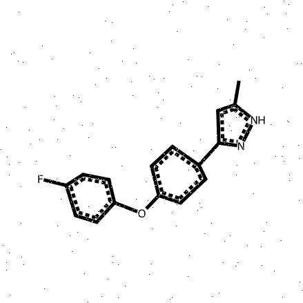 Cc1cc(-c2ccc(Oc3ccc(F)cc3)cc2)n[nH]1